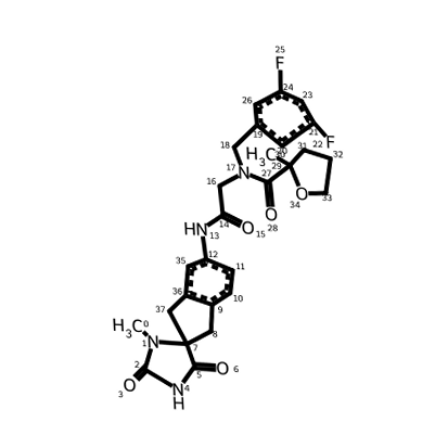 CN1C(=O)NC(=O)C12Cc1ccc(NC(=O)CN(Cc3cc(F)cc(F)c3)C(=O)C3(C)CCCO3)cc1C2